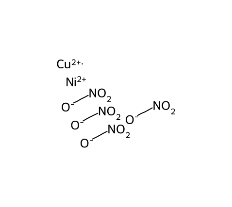 O=[N+]([O-])[O-].O=[N+]([O-])[O-].O=[N+]([O-])[O-].O=[N+]([O-])[O-].[Cu+2].[Ni+2]